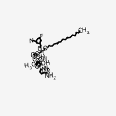 CCCCCCCCCCCCCCCCOC[C@@H](COP(=O)(O)OC1[C@@]2(C)O[C@@H](c3ccc4c(N)ncnn34)[C@H](O)[C@@]12O)OCc1cc(F)cc(C#N)c1